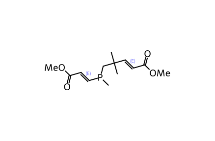 COC(=O)/C=C/P(C)CC(C)(C)/C=C/C(=O)OC